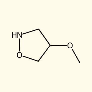 COC1CNOC1